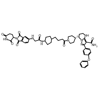 NC(=O)c1c(-c2ccc(Oc3ccccc3)cc2)nn2c1NCC[C@H]2C1CCN(C(=O)CCCC2CCC(NC(=O)CNc3ccc4c(c3)C(=O)N(C3CCC(=O)NC3=O)C4=O)CC2)CC1